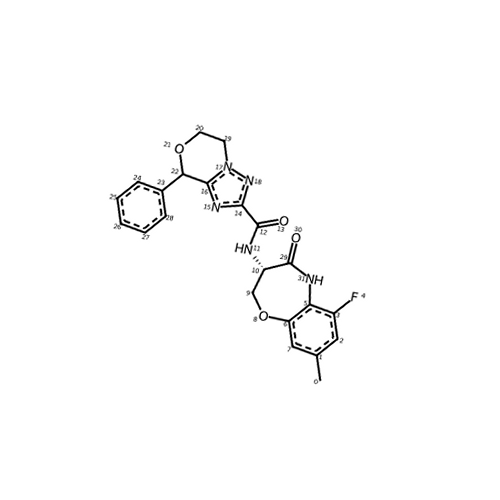 Cc1cc(F)c2c(c1)OC[C@H](NC(=O)c1nc3n(n1)CCOC3c1ccccc1)C(=O)N2